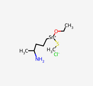 CC[O][Sn+]([CH2]CCC(C)N)[S]C.[Cl-]